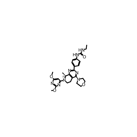 CCNC(=O)Nc1ccc(-c2nc3c(c(N4CCOCC4)n2)CCN(c2cc(OC)nc(OC)n2)[C@H]3C)cc1